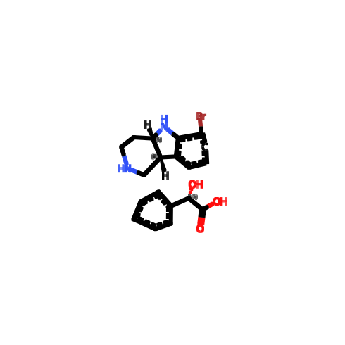 Brc1cccc2c1N[C@H]1CCNC[C@@H]21.O=C(O)[C@@H](O)c1ccccc1